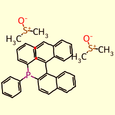 C[S+](C)[O-].C[S+](C)[O-].c1ccc(P(c2ccccc2)c2ccc3ccccc3c2-c2cccc3ccccc23)cc1